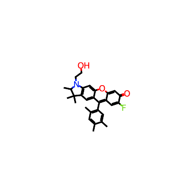 Cc1cc(C)c(-c2c3cc(F)c(=O)cc-3oc3cc4c(cc23)C(C)(C)C(C)N4CCO)cc1C